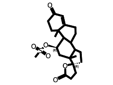 CC12CCC(=O)C=C1CCC1C2[C@H](OS(C)(=O)=O)CC2(C)C1CC[C@@]21CCC(=O)O1